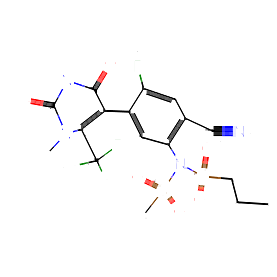 CCCS(=O)(=O)N(c1cc(-c2c(C(F)(F)F)n(C)c(=O)[nH]c2=O)c(F)cc1C#N)S(C)(=O)=O